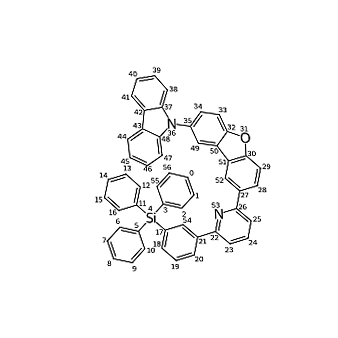 c1ccc([Si](c2ccccc2)(c2ccccc2)c2cccc(-c3cccc(-c4ccc5oc6ccc(-n7c8ccccc8c8ccccc87)cc6c5c4)n3)c2)cc1